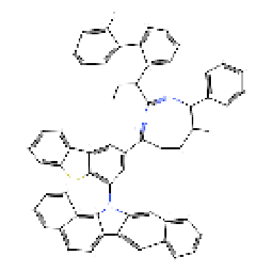 CCC(C1=N/C(c2ccccc2)C(C)CC/C(c2cc(-n3c4cc5ccccc5cc4c4ccc5ccccc5c43)c3sc4ccccc4c3c2)=N\1)c1ccccc1-c1ccccc1C